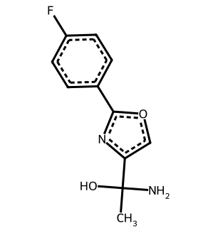 CC(N)(O)c1coc(-c2ccc(F)cc2)n1